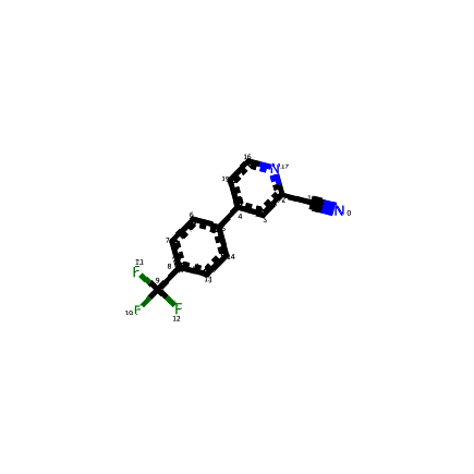 N#Cc1cc(-c2ccc(C(F)(F)F)cc2)ccn1